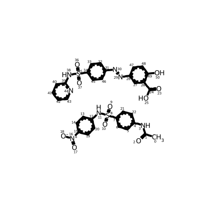 CC(=O)Nc1ccc(S(=O)(=O)Nc2ccc([N+](=O)[O-])cc2)cc1.O=C(O)c1cc(/N=N/c2ccc(S(=O)(=O)Nc3ccccn3)cc2)ccc1O